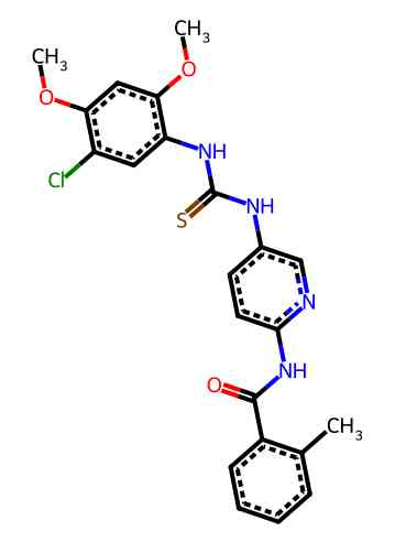 COc1cc(OC)c(NC(=S)Nc2ccc(NC(=O)c3ccccc3C)nc2)cc1Cl